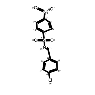 O=[N+]([O-])c1ccc(S(=O)(=O)/N=C/c2ccc(Cl)cc2)cc1